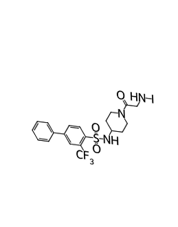 O=C(CNI)N1CCC(NS(=O)(=O)c2ccc(-c3ccccc3)cc2C(F)(F)F)CC1